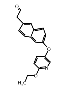 CCOc1ccc(Oc2ccc3cc(CC=O)ccc3c2)cn1